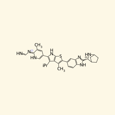 Cc1cc(-c2[nH]c3sc(-c4ccc5[nH]c([C@H]6NC7CCC6C7)nc5c4)c(C)c3c2C(C)C)c[nH]/c1=N\C=N